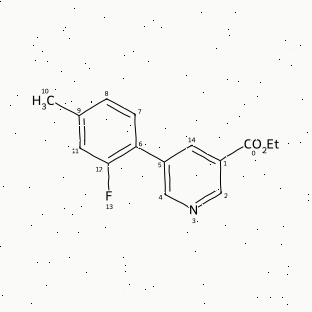 CCOC(=O)c1cncc(-c2ccc(C)cc2F)c1